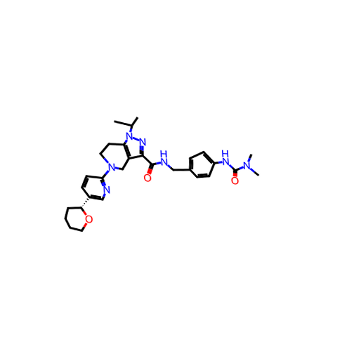 CC(C)n1nc(C(=O)NCc2ccc(NC(=O)N(C)C)cc2)c2c1CCN(c1ccc([C@H]3CCCCO3)cn1)C2